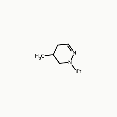 CC1CC=NN(C(C)C)C1